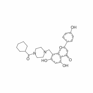 O=C(C1CCCCC1)N1CCN(Cc2c(O)cc(O)c3c(=O)cc(-c4ccc(O)cc4)oc23)CC1